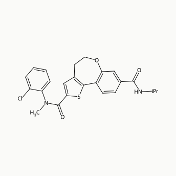 CC(C)NC(=O)c1ccc2c(c1)OCCc1cc(C(=O)N(C)c3ccccc3Cl)sc1-2